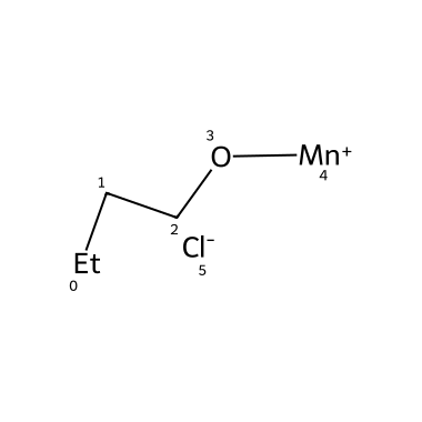 CCCC[O][Mn+].[Cl-]